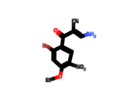 CCOc1cc(Br)c(C(=O)C(C#N)=CN)cc1[N+](=O)[O-]